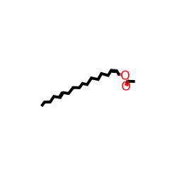 CCCCC=CCCCCCCCCC/C=C\COC(C)=O